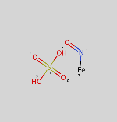 O=S(=O)(O)O.O=[N][Fe]